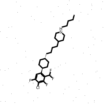 CCCCC[SiH]1CCC(CCCC[C@H]2CC[C@H](c3cc(F)c(Cl)c(F)c3C(F)F)CC2)CC1